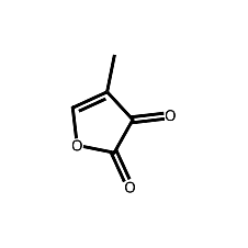 CC1=COC(=O)C1=O